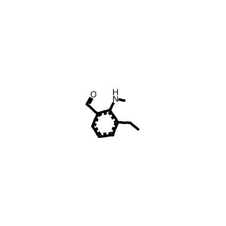 CCc1cccc(C=O)c1NC